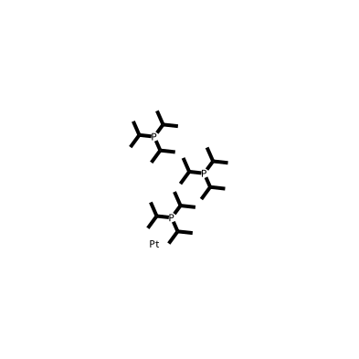 CC(C)P(C(C)C)C(C)C.CC(C)P(C(C)C)C(C)C.CC(C)P(C(C)C)C(C)C.[Pt]